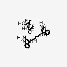 Nc1cc(NCCCCCNc2cc(N)nc3ccccc23)c2ccccc2n1.O=C(O)C(F)(F)F.O=C(O)C(F)(F)F